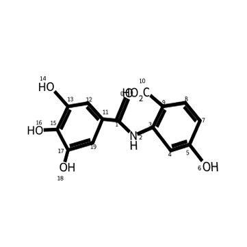 O=C(Nc1cc(O)ccc1C(=O)O)c1cc(O)c(O)c(O)c1